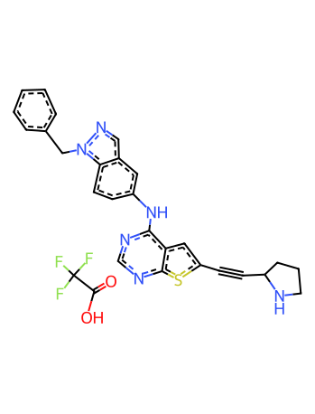 C(#CC1CCCN1)c1cc2c(Nc3ccc4c(cnn4Cc4ccccc4)c3)ncnc2s1.O=C(O)C(F)(F)F